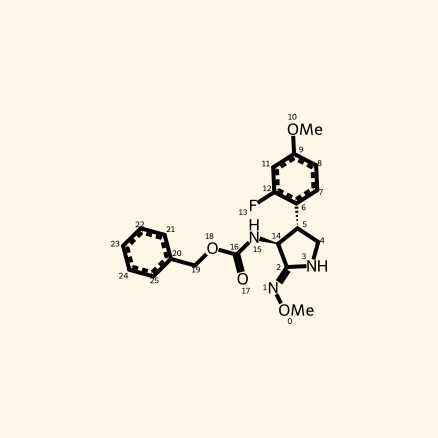 CO/N=C1\NC[C@@H](c2ccc(OC)cc2F)[C@@H]1NC(=O)OCc1ccccc1